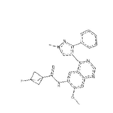 COc1cc2ncnc(-c3cn(C)nc3-c3ccccc3)c2cc1NC(=O)C12CC(F)(C1)C2